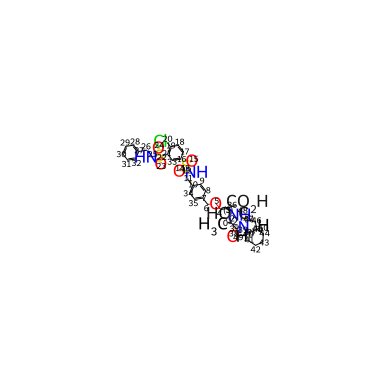 CC(N[C@@H](COCc1ccc(CNS(=O)(=O)c2ccc(Cl)c(S(=O)(=O)NCc3ccccc3)c2)cc1)C(=O)O)C(=O)N1[C@@H]2CCCC[C@@H]2C[C@H]1C(=O)O